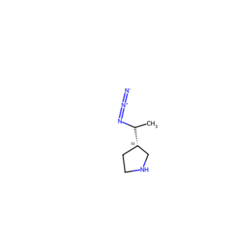 CC(N=[N+]=[N-])[C@H]1CCNC1